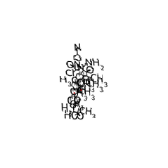 CC[C@H](CC[C@@]1(C)[C@H](C)CC[C@]2(C)[C@@H]1CC[C@@H]1C3=C(C(C)C)C(=O)C[C@]3(c3c(Cl)c(=O)n(-c4ccc(C#N)cc4)n3CCN)CC[C@]12C)OC(=O)CC(C)(C)C(=O)O